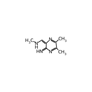 CN/C=C1/N=C(C)C(C)=NC1=N